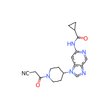 N#CCC(=O)N1CCC(n2cnc3cnc(NC(=O)C4CC4)cc32)CC1